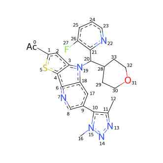 CC(=O)c1cc2c(s1)c1ncc(-c3c(C)nnn3C)cc1n2C(c1ncccc1F)C1CCOCC1